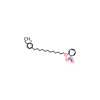 CCc1ccc(CCCCCCCCCCCCOC2=CC=CC=CC2[N+](=O)[O-])cc1